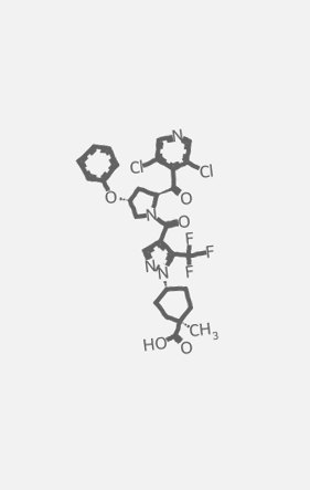 C[C@]1(C(=O)O)CC[C@H](n2ncc(C(=O)N3C[C@H](Oc4ccccc4)C[C@H]3C(=O)c3c(Cl)cncc3Cl)c2C(F)(F)F)CC1